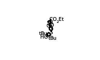 CCOC(=O)c1csc(S(=O)(=O)N2CCC(Sc3cc(C(C)(C)C)c(O)c(C(C)(C)C)c3)CC2)n1